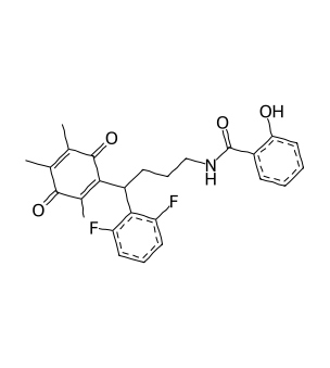 CC1=C(C)C(=O)C(C(CCCNC(=O)c2ccccc2O)c2c(F)cccc2F)=C(C)C1=O